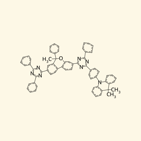 CC1(C)c2ccccc2N(c2ccc(-c3nc(-c4ccccc4)nc(-c4ccc5c(c4)OC(C)(c4ccccc4)c4cc(-c6nc(-c7ccccc7)nc(-c7ccccc7)n6)ccc4-5)n3)cc2)c2ccccc21